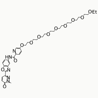 CCOCCOCCOCCOCCOCCOCCOCCOCCOc1ccc(C(=O)Nc2ccc3oc(-c4ccc(=O)n(C)n4)nc3c2)nc1